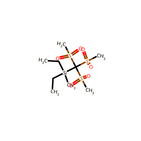 CC[Si](C)(CC)C(S(C)(=O)=O)(S(C)(=O)=O)S(C)(=O)=O